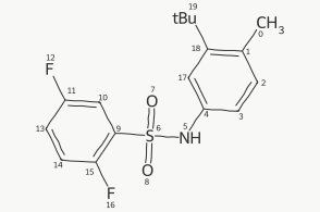 Cc1ccc(NS(=O)(=O)c2cc(F)ccc2F)cc1C(C)(C)C